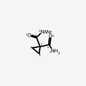 CNC(=O)C1(C(N)=O)CC1